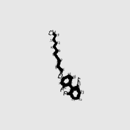 Fc1cc(OCCCCCCCCCCl)ccc1-c1c(F)cccc1F